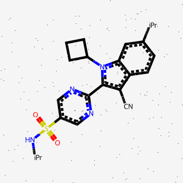 CC(C)NS(=O)(=O)c1cnc(-c2c(C#N)c3ccc(C(C)C)cc3n2C2CCC2)nc1